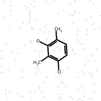 Cc1ccc(Cl)c(C)c1[O]